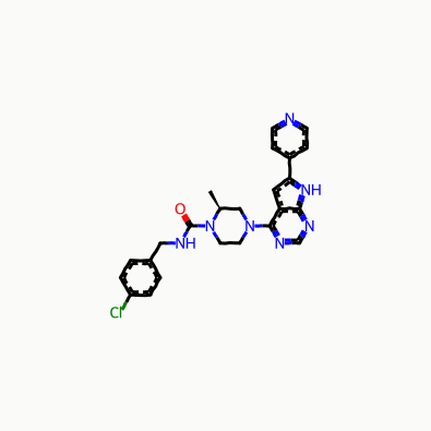 C[C@H]1CN(c2ncnc3[nH]c(-c4ccncc4)cc23)CCN1C(=O)NCc1ccc(Cl)cc1